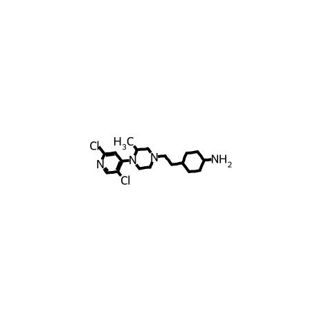 CC1CN(CCC2CCC(N)CC2)CCN1c1cc(Cl)ncc1Cl